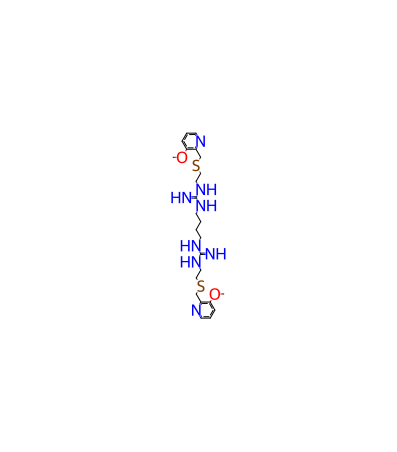 COc1cccnc1CSCCNC(=N)NCCCCNC(=N)NCCSCc1ncccc1OC